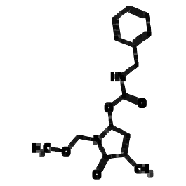 COCN1C(=O)C(C)=CC1OC(=O)NCc1ccccc1